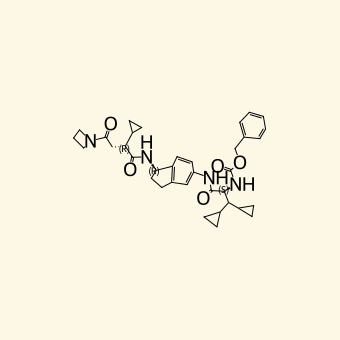 O=C(N[C@H](C(=O)Nc1ccc2c(c1)CC[C@H]2NC(=O)[C@H](CC(=O)N1CCC1)C1CC1)C(C1CC1)C1CC1)OCc1ccccc1